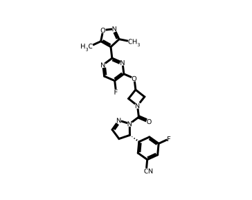 Cc1noc(C)c1-c1ncc(F)c(OC2CN(C(=O)N3N=CC[C@H]3c3cc(F)cc(C#N)c3)C2)n1